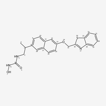 CC(CNC(=O)NO)c1ccc2cc(OCc3nc4ccccc4s3)ccc2c1